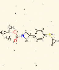 CC(C)(C)OC(=O)N1CC(c2ccc(SC3CC3)cc2)C1